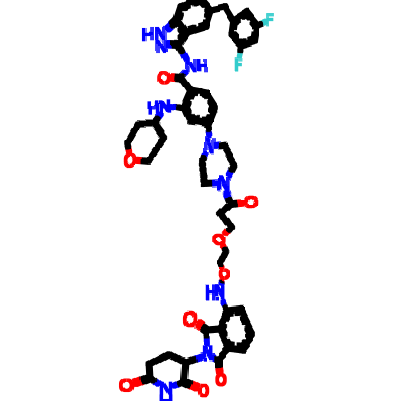 O=C1CCC(N2C(=O)c3cccc(NOCCOCCC(=O)N4CCN(c5ccc(C(=O)Nc6n[nH]c7ccc(Cc8cc(F)cc(F)c8)cc67)c(NC6CCOCC6)c5)CC4)c3C2=O)C(=O)N1